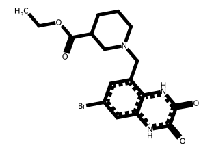 CCOC(=O)C1CCCN(Cc2cc(Br)cc3[nH]c(=O)c(=O)[nH]c23)C1